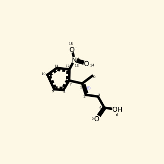 C/C(=C\CC(=O)O)c1ccccc1[N+](=O)[O-]